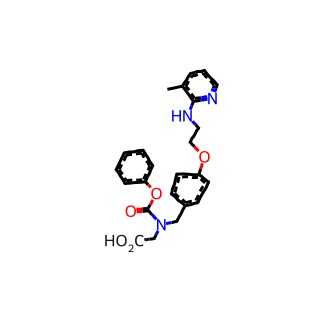 Cc1cccnc1NCCOc1ccc(CN(CC(=O)O)C(=O)Oc2ccccc2)cc1